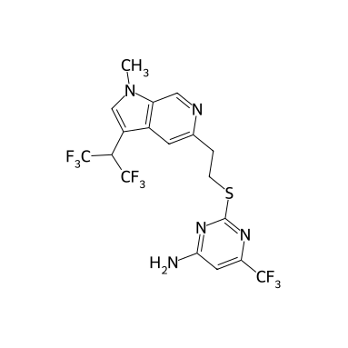 Cn1cc(C(C(F)(F)F)C(F)(F)F)c2cc(CCSc3nc(N)cc(C(F)(F)F)n3)ncc21